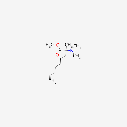 C=CCCCCCC(C)(C(=O)OC)N(C)C